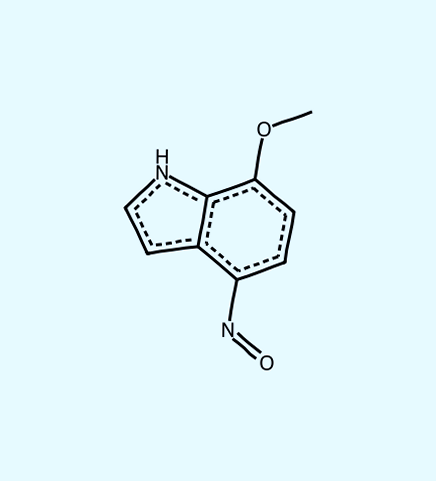 COc1ccc(N=O)c2cc[nH]c12